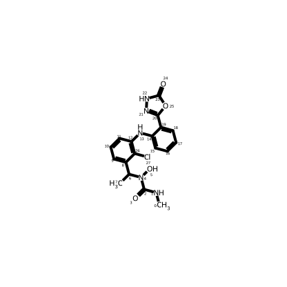 CNC(=O)N(O)C(C)c1cccc(Nc2ccccc2-c2n[nH]c(=O)o2)c1Cl